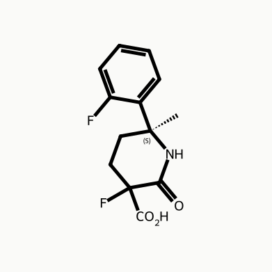 C[C@@]1(c2ccccc2F)CCC(F)(C(=O)O)C(=O)N1